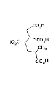 CC(CC(C(=O)O)C(CC(=O)O)C(=O)O)C(=O)O